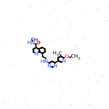 CCOc1ncc(-c2cc(NCCc3cccc4c(C(=O)NC)ccnc34)ncn2)cc1C